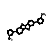 Nc1cccc(-c2ccc3c(c2)oc2c4ccc(-c5cccc(N)c5)cc4oc32)c1